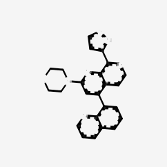 c1cnc2c(-c3cc(N4CCOCC4)nc4c(-c5ccn[nH]5)nccc34)cccc2c1